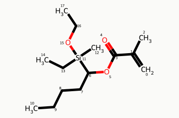 C=C(C)C(=O)OC(CCCC)[Si](C)(CC)OCC